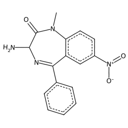 CN1C(=O)C(N)N=C(c2ccccc2)c2cc([N+](=O)[O-])ccc21